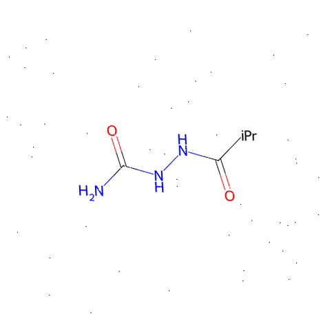 CC(C)C(=O)NNC(N)=O